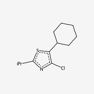 CC(C)c1nc(Cl)c(C2CCCCC2)s1